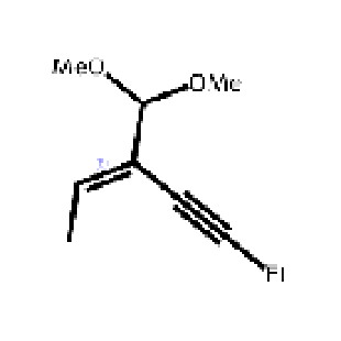 C/C=C(\C#CCC)C(OC)OC